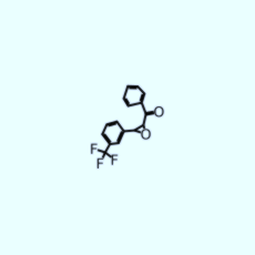 O=C(c1ccccc1)C1OC1c1cccc(C(F)(F)F)c1